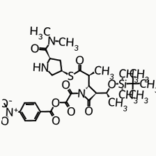 C[C@H](O[Si](C)(C)C(C)(C)C)[C@H]1C(=O)N(C(=O)C(=O)OC(=O)c2ccc([N+](=O)[O-])cc2)[C@@H]1[C@H](C)C(=O)S[C@H]1CN[C@@H](C(=O)N(C)C)C1